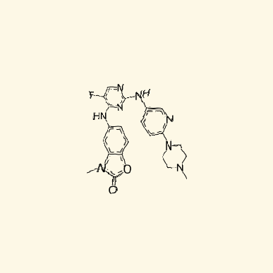 CN1CCN(c2ccc(Nc3ncc(F)c(Nc4ccc5oc(=O)n(C)c5c4)n3)cn2)CC1